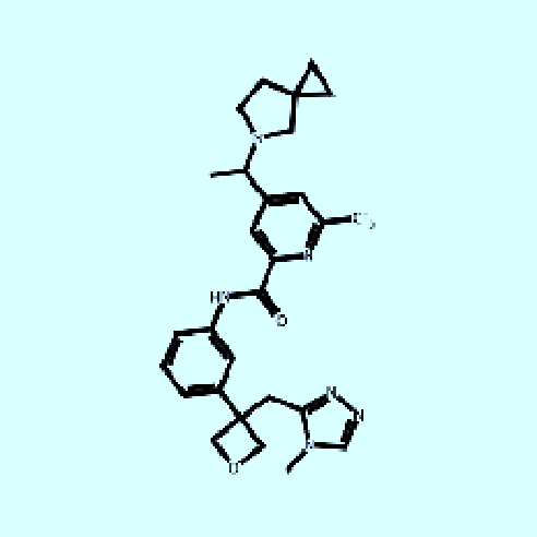 CC(c1cc(C(=O)Nc2cccc(C3(Cc4nncn4C)COC3)c2)nc(C(F)(F)F)c1)N1CCC2(CC2)C1